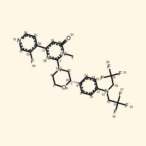 Cn1c(N2CCO[C@@H](c3ccc(N(CC(F)(F)F)CC(F)(F)F)cc3)C2)nc(-c2ccncc2F)cc1=O